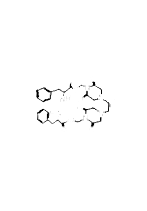 C[C@H]([C@H](C)N1CC(=O)N(COC(=O)[C@@H](N)Cc2ccccc2)C(=O)C1)N1CC(=O)N(COC(=O)[C@@H](N)Cc2ccccc2)C(=O)C1